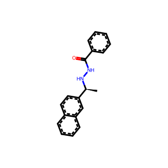 C[C@H](NNC(=O)c1ccccc1)c1ccc2ccccc2c1